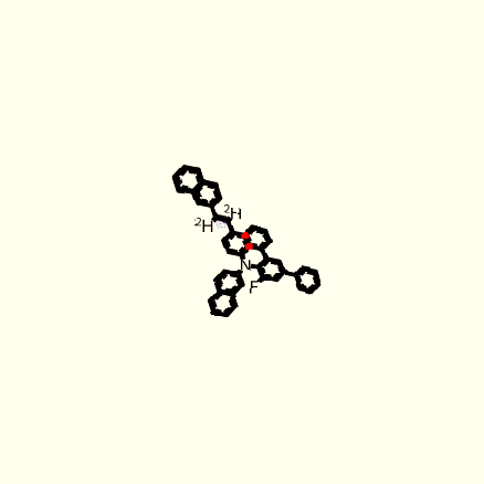 [2H]/C(=C(/[2H])c1ccc2ccccc2c1)c1ccc(N(c2ccc3ccccc3c2)c2c(F)cc(-c3ccccc3)cc2-c2ccccc2)cc1